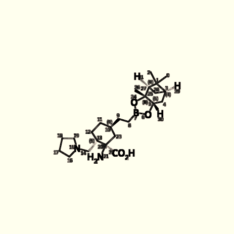 CC1(C)[C@H]2C[C@@H]3OB(CC[C@@H]4CC[C@@H](CN5CCCC5)[C@@](N)(C(=O)O)C4)O[C@]3(C)[C@@H]1C2